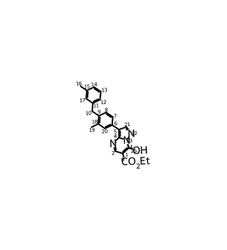 CCOC(=O)c1cnc2c(-c3ccc(Cc4cccc(C)c4)c(C)c3)cnn2c1O